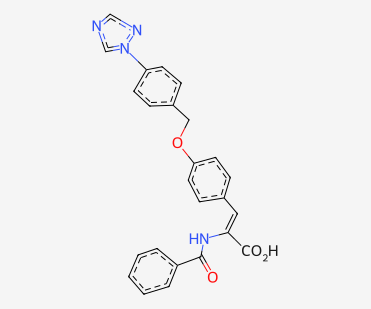 O=C(O)C(=Cc1ccc(OCc2ccc(-n3cncn3)cc2)cc1)NC(=O)c1ccccc1